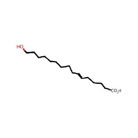 O=C(O)CCCCC=CCCCCCCCCCO